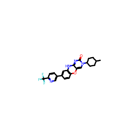 CC1CCC(n2cc3c(nc2=O)Nc2cc(-c4ccc(C(F)(F)F)nc4)ccc2O3)CC1